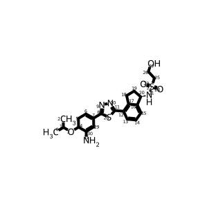 CC(C)OC1CC=C(c2nnc(-c3cccc4c3CC[C@@H]4NS(=O)(=O)CCO)s2)C=C1N